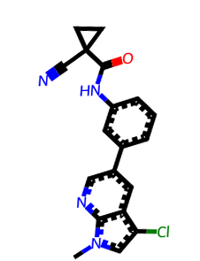 Cn1cc(Cl)c2cc(-c3cccc(NC(=O)C4(C#N)CC4)c3)cnc21